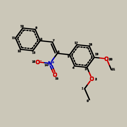 CCOc1cc(C(=Cc2ccccc2)[N+](=O)[O-])ccc1OC